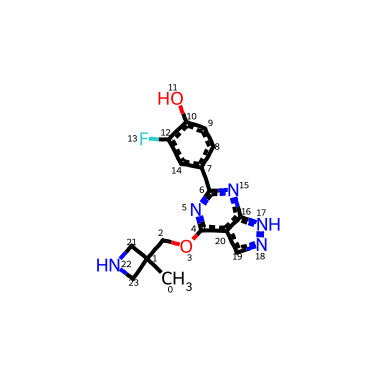 CC1(COc2nc(-c3ccc(O)c(F)c3)nc3[nH]ncc23)CNC1